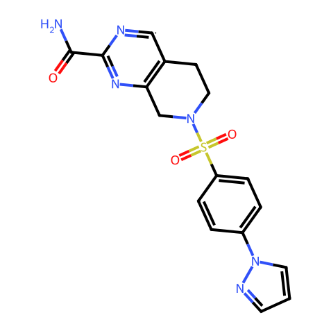 NC(=O)c1n[c]c2c(n1)CN(S(=O)(=O)c1ccc(-n3cccn3)cc1)CC2